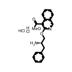 COC(=O)c1c(OC[C@H](N)Cc2ccccc2)ncc2ccccc12.Cl.Cl